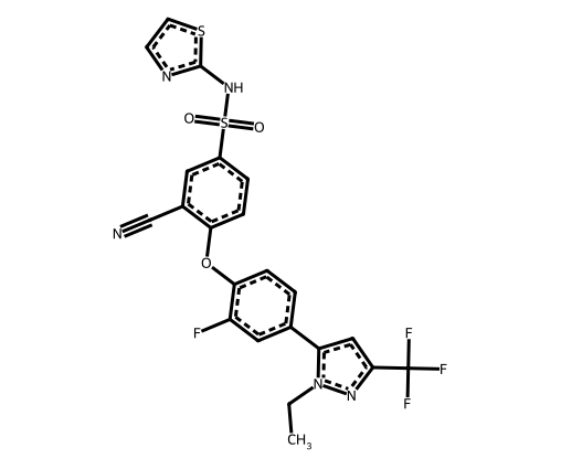 CCn1nc(C(F)(F)F)cc1-c1ccc(Oc2ccc(S(=O)(=O)Nc3nccs3)cc2C#N)c(F)c1